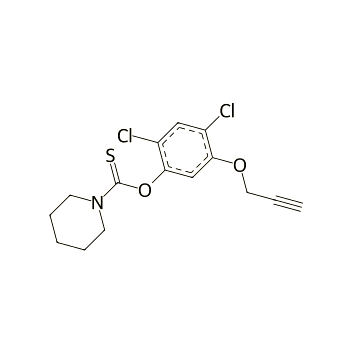 C#CCOc1cc(OC(=S)N2CCCCC2)c(Cl)cc1Cl